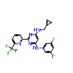 Fc1cc(F)cc(Nc2cc(NCC3CC3)nc(-c3cccc(C(F)(F)F)n3)n2)c1